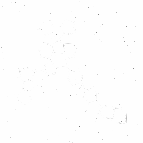 c1ccc(C2(c3ccccc3)c3ccccc3-c3c(N(c4ccc(-c5ccc(-c6ccc7ccccc7c6)cc5)cc4)c4ccc(-c5cccc6c5oc5ccccc56)cc4)cccc32)cc1